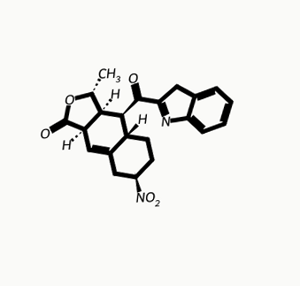 C[C@H]1OC(=O)[C@@H]2C=C3C[C@H]([N+](=O)[O-])CC[C@H]3[C@H](C(=O)C3=Nc4ccccc4C3)[C@H]12